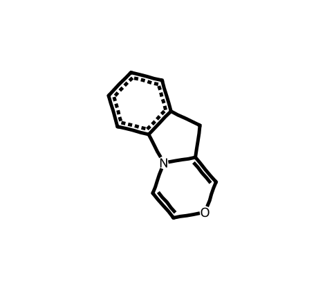 C1=CN2C(=CO1)Cc1ccccc12